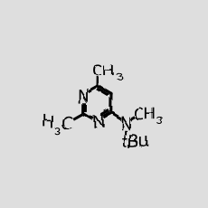 Cc1cc(N(C)C(C)(C)C)nc(C)n1